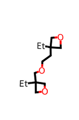 CCC1(CCOCC2(CC)COC2)COC1